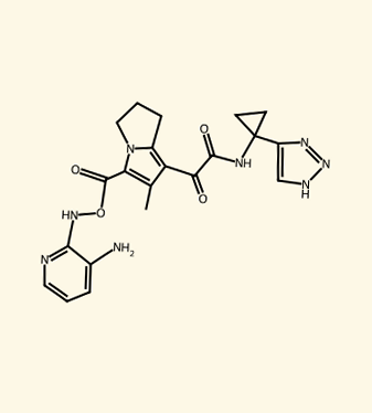 Cc1c(C(=O)C(=O)NC2(c3c[nH]nn3)CC2)c2n(c1C(=O)ONc1ncccc1N)CCC2